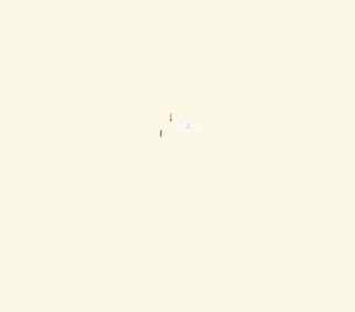 CC1CCC2C3CCC4NC(=O)C=C[C@]4(C)C3CC[C@]12C